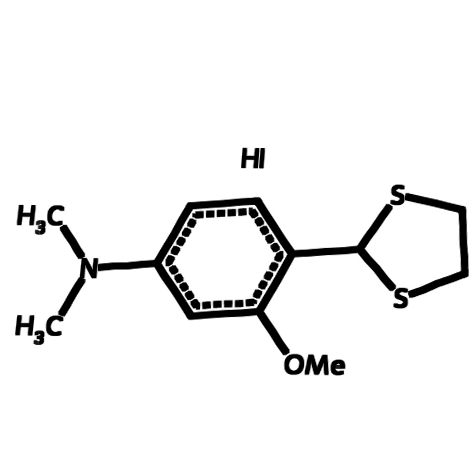 COc1cc(N(C)C)ccc1C1SCCS1.I